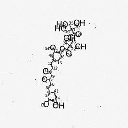 COc1cc(/C=C/C(=O)CC(=O)/C=C/c2ccc(OC(=O)C(CO)(CO)COC(=O)C(CO)(CO)CO)c(OC)c2)ccc1O